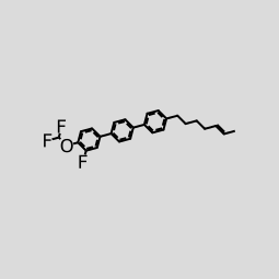 CC=CCCCCc1ccc(-c2ccc(-c3ccc(OC(F)F)c(F)c3)cc2)cc1